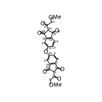 COCC(=O)C1C(=O)c2ccc(Oc3ccc4c(c3)C(=O)C(C(=O)COC)C4=O)cc2C1=O